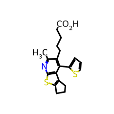 Cc1nc2sc3c(c2c(-c2cccs2)c1CCCCC(=O)O)CCC3